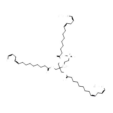 CCCCC/C=C\C/C=C\CCCCCCCC(=O)OCC(COC(=O)CCCCCCC/C=C\C/C=C\CCCCC)(COC(=O)CCCCCCC/C=C\C/C=C\CCCCC)NCCS(=O)(=O)Cl